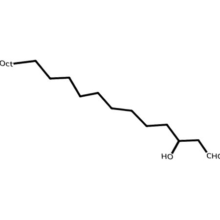 CCCCCCCCCCCCCCCCCC(O)CC=O